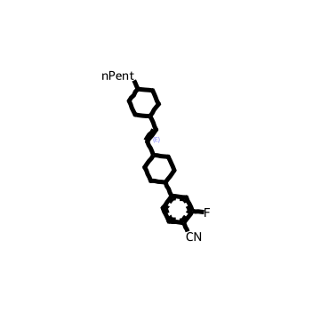 CCCCCC1CCC(/C=C/C2CCC(c3ccc(C#N)c(F)c3)CC2)CC1